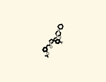 CC(C)Oc1cccc(CC(=O)N2CCC(CCN3CCN(C4CCCCC4)CC3)(c3ccc(F)c(F)c3)C2)c1